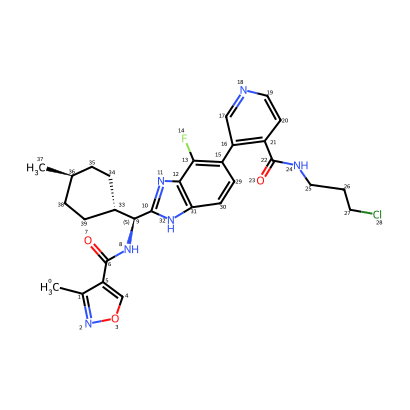 Cc1nocc1C(=O)N[C@H](c1nc2c(F)c(-c3cnccc3C(=O)NCCCCl)ccc2[nH]1)[C@H]1CC[C@H](C)CC1